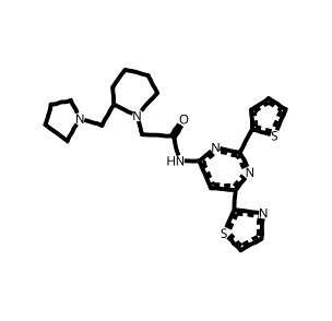 O=C(CN1CCCCC1CN1CCCC1)Nc1cc(-c2nccs2)nc(-c2cccs2)n1